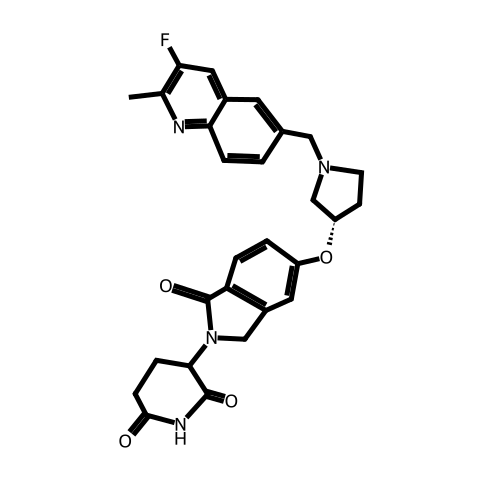 Cc1nc2ccc(CN3CC[C@H](Oc4ccc5c(c4)CN(C4CCC(=O)NC4=O)C5=O)C3)cc2cc1F